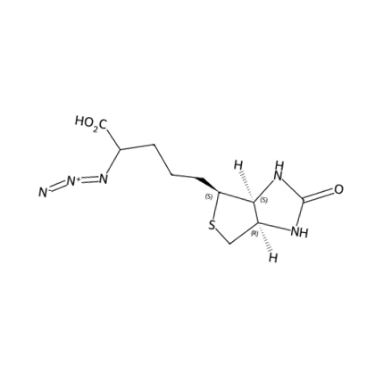 [N-]=[N+]=NC(CCC[C@@H]1SC[C@@H]2NC(=O)N[C@@H]21)C(=O)O